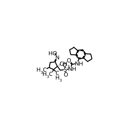 CC1C/C(=N\O)[C@@](C)(CS(=O)(=O)NC(=O)Nc2c3c(cc4c2CCC4)CCC3)C1(C)C